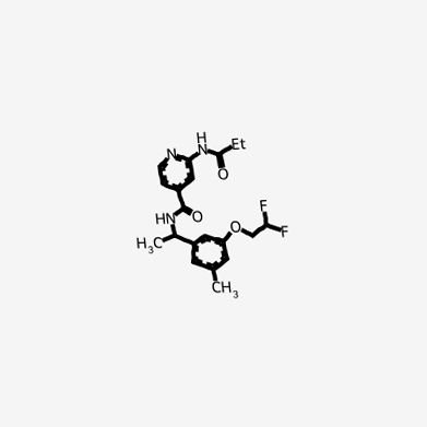 CCC(=O)Nc1cc(C(=O)NC(C)c2cc(C)cc(OCC(F)F)c2)ccn1